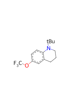 CC(C)(C)N1CCCc2cc(OC(F)(F)F)ccc21